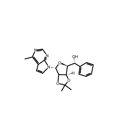 Cc1ncnc2c1ccn2[C@@H]1O[C@@H]([C@H](O)c2ccccc2)[C@H]2OC(C)(C)OC12